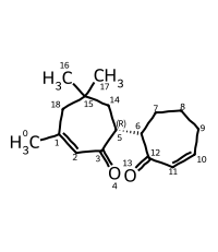 CC1=CC(=O)[C@@H](C2CCCC=CC2=O)CC(C)(C)C1